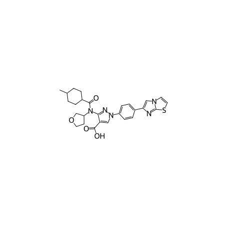 CC1CCC(C(=O)N(c2nn(-c3ccc(-c4cn5ccsc5n4)cc3)cc2C(=O)O)C2CCOC2)CC1